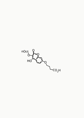 CCCCCCCCOc1c(O)c2ccc(OCCCC(=O)O)cc2oc1=O